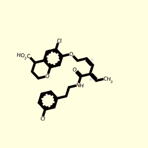 C/C=C(\C=C/COc1cc2c(cc1Cl)C(C(=O)O)CCO2)C(=O)NCCc1cccc(Cl)c1